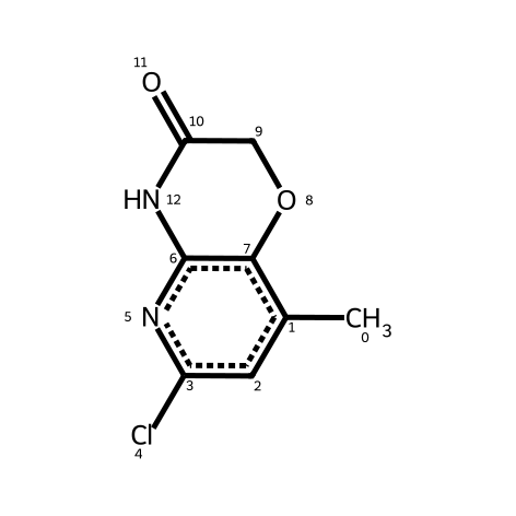 Cc1cc(Cl)nc2c1OCC(=O)N2